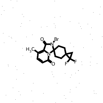 Cc1ccc(=O)n2c1C(=O)N(Br)C21CCC2(CC1)CC2(F)F